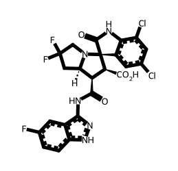 O=C(Nc1n[nH]c2ccc(F)cc12)[C@H]1[C@H]2CC(F)(F)CN2[C@]2(C(=O)Nc3c(Cl)cc(Cl)cc32)[C@H]1C(=O)O